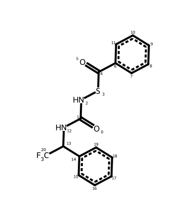 O=C(NSC(=O)c1ccccc1)NC(c1ccccc1)C(F)(F)F